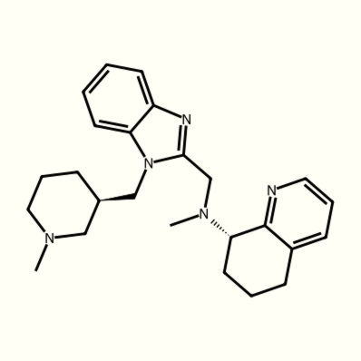 CN1CCC[C@@H](Cn2c(CN(C)[C@H]3CCCc4cccnc43)nc3ccccc32)C1